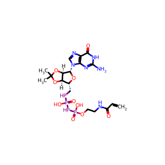 C=CC(=O)NCCOP(=O)(O)PP(=O)(O)PC[C@H]1O[C@@H](n2cnc3c(=O)[nH]c(N)nc32)[C@@H]2OC(C)(C)O[C@@H]21